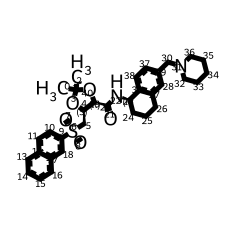 CC1(C)O[C@H](CS(=O)(=O)c2ccc3ccccc3c2)[C@H](C(=O)N[C@@H]2CCCc3cc(CN4CCCCC4)ccc32)O1